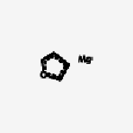 [Mg].c1ccoc1